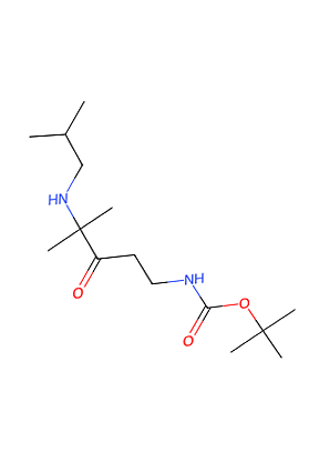 CC(C)CNC(C)(C)C(=O)CCNC(=O)OC(C)(C)C